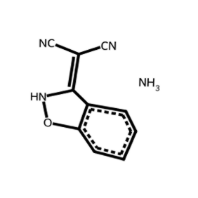 N.N#CC(C#N)=C1NOc2ccccc21